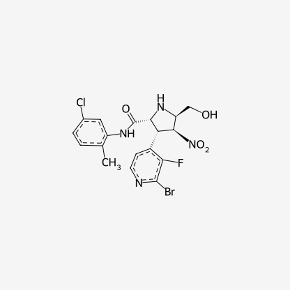 Cc1ccc(Cl)cc1NC(=O)[C@@H]1N[C@@H](CO)[C@@H]([N+](=O)[O-])[C@@H]1c1ccnc(Br)c1F